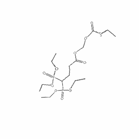 CCOP(=O)(OCC)C(CCC(=O)OCOC(=O)SCC)P(=O)(OCC)OCC